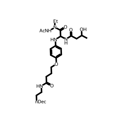 CCCCCCCCCCCCNC(=O)CCCOc1ccc(NC(NC(=O)CC(C)O)C(=O)N(CC)NC(C)=O)cc1